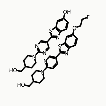 OCC1CCN(c2ccc(-c3nc4ccc(OCCF)cc4s3)cn2)CC1.OCC1CCN(c2ncc(-c3nc4ccc(O)cc4s3)cn2)CC1